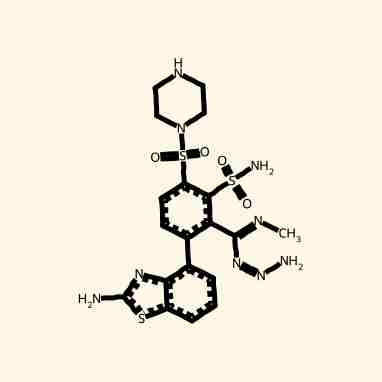 C/N=C(\N=N/N)c1c(-c2cccc3sc(N)nc23)ccc(S(=O)(=O)N2CCNCC2)c1S(N)(=O)=O